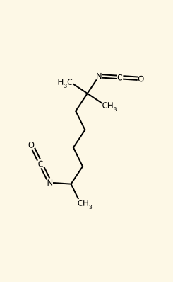 CC(CCCCC(C)(C)N=C=O)N=C=O